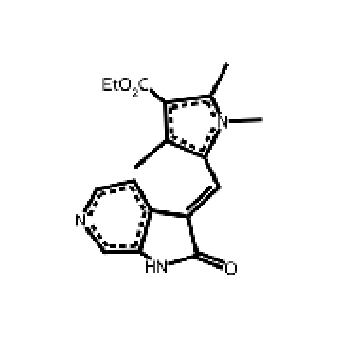 CCOC(=O)c1c(C)c(C=C2C(=O)Nc3cnccc32)n(C)c1C